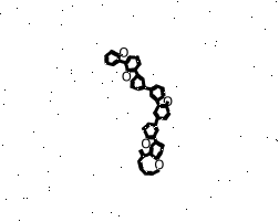 C=C1/C=C\C=C/COc2ccc3c(oc4ccc(-c5ccc6oc7ccc(-c8ccc9oc%10c(ccc%11oc%12ccccc%12c%11%10)c9c8)cc7c6c5)cc43)c21